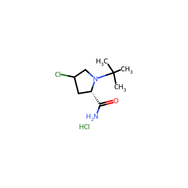 CC(C)(C)N1CC(Cl)C[C@H]1C(N)=O.Cl